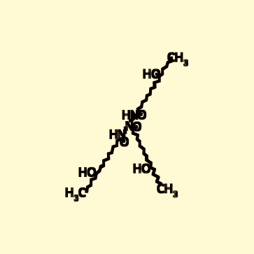 CCCCCCC(O)CC=CCCCCCCCC(=O)NCCN(CCNC(=O)CCCCCCCC=CCC(O)CCCCCC)C(=O)CCCCCCCC=CCC(O)CCCCCC